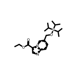 CCOC(=O)c1cnc2ccc(CO[Si](C(C)C)(C(C)C)C(C)C)cn12